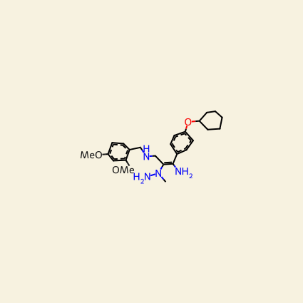 COc1ccc(CNC/C(=C(/N)c2ccc(OC3CCCCC3)cc2)N(C)N)c(OC)c1